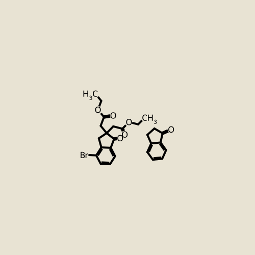 CCOC(=O)CC1(CC(=O)OCC)Cc2c(Br)cccc2C1=O.O=C1CCc2ccccc21